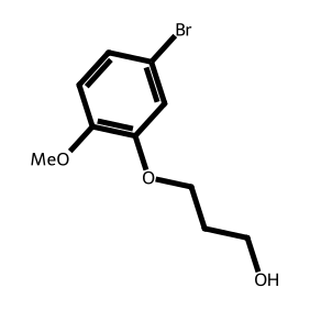 COc1ccc(Br)cc1OCCCO